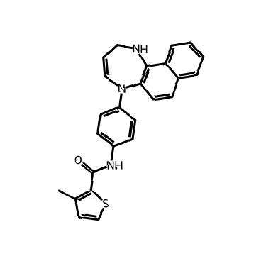 Cc1ccsc1C(=O)Nc1ccc(N2C=CCNc3c2ccc2ccccc32)cc1